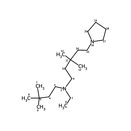 CCN(CCC(C)(C)C)CCC(C)(C)CCN1CCCC1